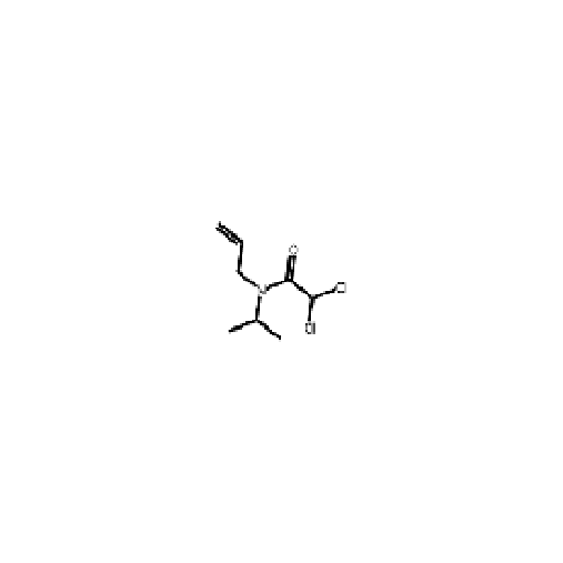 C=CCN(C(=O)C(Cl)Cl)C(C)C